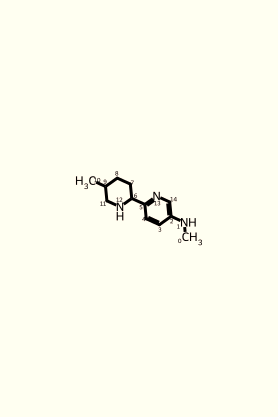 CNc1ccc(C2CCC(C)CN2)nc1